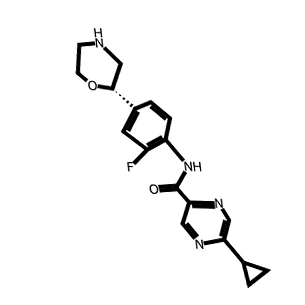 O=C(Nc1ccc([C@H]2CNCCO2)cc1F)c1cnc(C2CC2)cn1